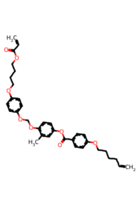 C=CCCCCOc1ccc(C(=O)Oc2ccc(OCOc3ccc(OCCCCOC(=O)C=C)cc3)c(C)c2)cc1